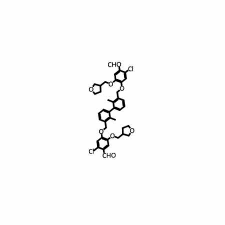 Cc1c(COc2cc(Cl)c(C=O)cc2OCC2CCOC2)cccc1-c1cccc(COc2cc(Cl)c(C=O)cc2OCC2CCOC2)c1C